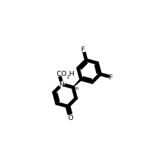 O=C1C=CN(C(=O)O)[C@@H](c2cc(F)cc(F)c2)C1